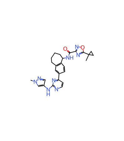 Cn1cc(Nc2nccc(-c3ccc4c(c3)CCCCC4NC(=O)c3noc(C4(C)CC4)n3)n2)cn1